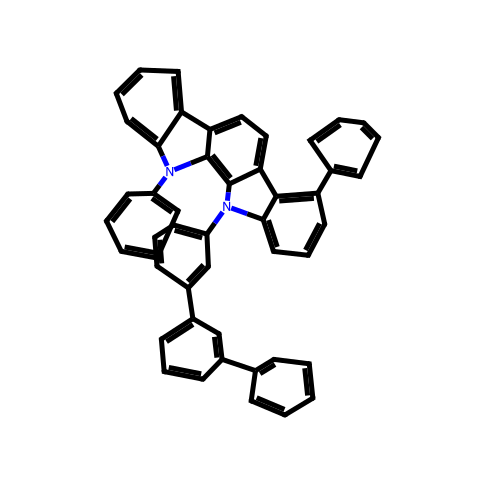 c1ccc(-c2cccc(-c3cccc(-n4c5cccc(-c6ccccc6)c5c5ccc6c7ccccc7n(-c7ccccc7)c6c54)c3)c2)cc1